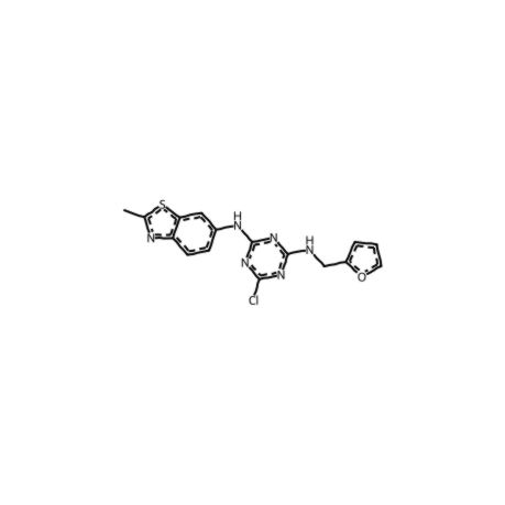 Cc1nc2ccc(Nc3nc(Cl)nc(NCc4ccco4)n3)cc2s1